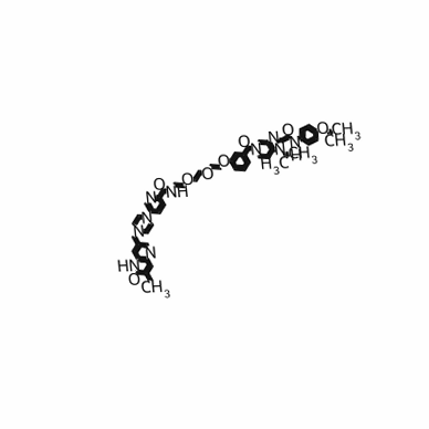 CCc1cc2ncc(CN3CCN(c4ccc(C(=O)NCCOCCOCCOc5cccc(C(=O)N6CCc7c(nc(C(=O)Nc8ccc(OC(C)C)cc8)n7C(C)C)C6)c5)nc4)CC3)cc2[nH]c1=O